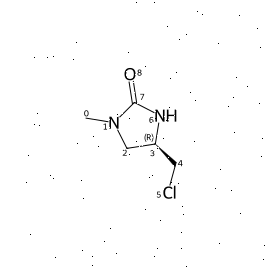 CN1C[C@H](CCl)NC1=O